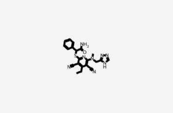 CCc1c(C#N)c(SC(C(N)=O)c2ccccc2)nc(N(C)Cc2nnc[nH]2)c1C#N